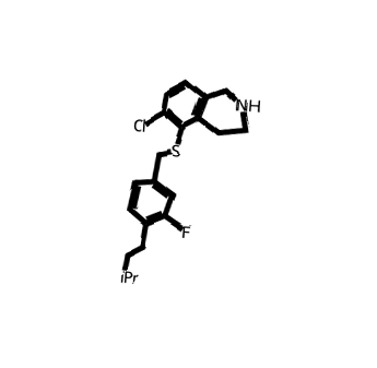 CC(C)CCc1ccc(CSc2c(Cl)ccc3c2CCNC3)cc1F